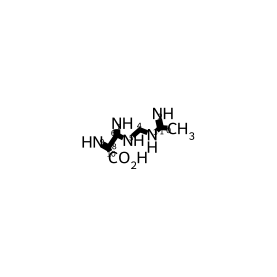 CC(=N)NCNC(=N)C(=N)C(=O)O